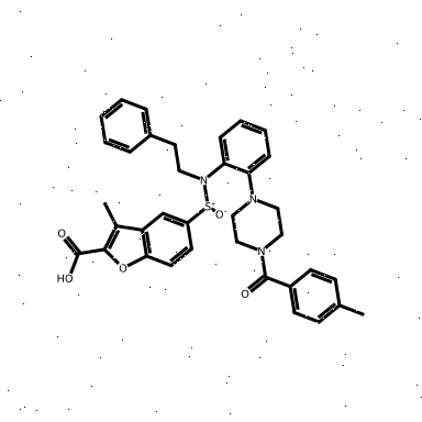 Cc1ccc(C(=O)N2CCN(c3ccccc3N(CCc3ccccc3)[S+]([O-])c3ccc4oc(C(=O)O)c(C)c4c3)CC2)cc1